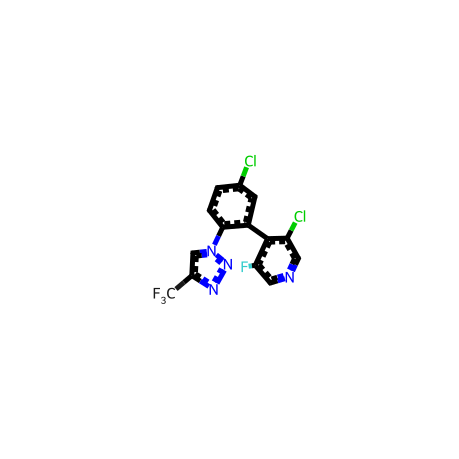 Fc1cncc(Cl)c1-c1cc(Cl)ccc1-n1cc(C(F)(F)F)nn1